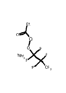 CCC(=O)OOC(F)(F)C(F)(F)C(F)(F)F.N